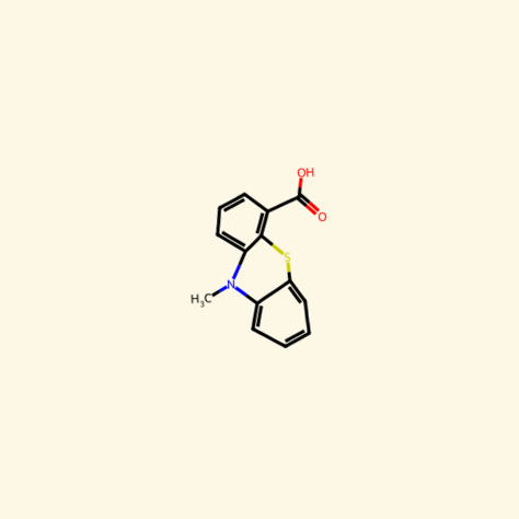 CN1c2ccccc2Sc2c(C(=O)O)cccc21